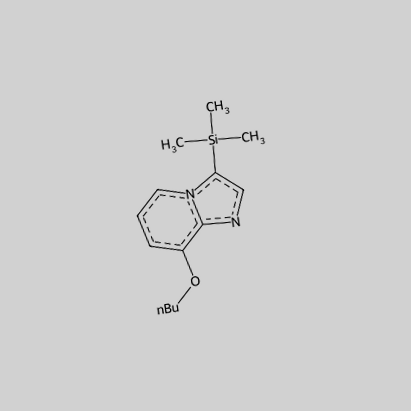 CCCCOc1cccn2c([Si](C)(C)C)cnc12